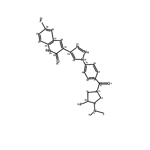 CN(C)C1CN(C(=O)c2ccc(-n3cc(-c4cc5cc(F)ccc5[nH]c4=O)nn3)cc2)CC1F